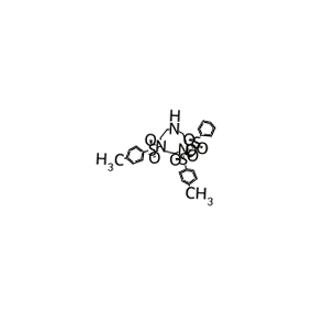 Cc1ccc(S(=O)(=O)N2CCNCC[N+](OS(=O)(=O)c3ccccc3)(S(=O)(=O)c3ccc(C)cc3)CC2)cc1